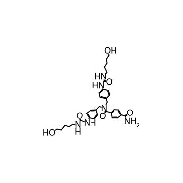 NC(=O)c1ccc(C(=O)N(Cc2ccc(NC(=O)NCCCCCO)cc2)Cc2ccc(NC(=O)NCCCCCO)cc2)cc1